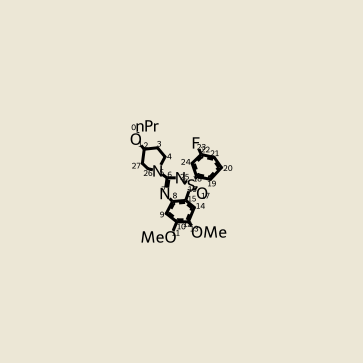 CCCOC1CCN(C2=Nc3cc(OC)c(OC)cc3S(=O)(c3cccc(F)c3)=N2)CC1